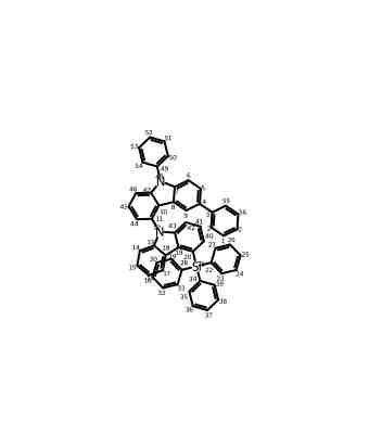 c1ccc(-c2ccc3c(c2)c2c(-n4c5ccccc5c5c([Si](c6ccccc6)(c6ccccc6)c6ccccc6)cccc54)cccc2n3-c2ccccc2)cc1